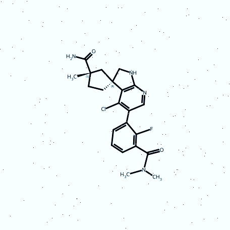 CN(C)C(=O)c1cccc(-c2cnc3c(c2Cl)[C@]2(CC[C@](C)(C(N)=O)C2)CN3)c1F